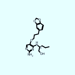 CCC[C@@H](CO)Nc1nc(N)ncc1OCCCc1ccc2c(c1)OCO2